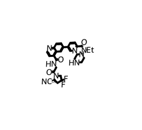 CCN(C(=O)c1ccc(-c2ccc3nccc(C(=O)NCC(=O)N4CC(F)(F)C[C@H]4C#N)c3c2)cn1)N1CCNCC1